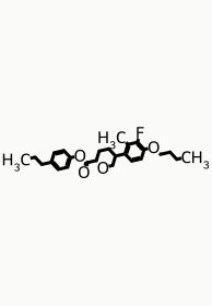 CCCCOc1ccc(C2CCC(C(=O)Oc3ccc(CCC)cc3)OC2)c(C)c1F